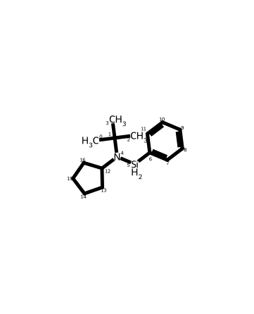 CC(C)(C)N([SiH2]c1ccccc1)C1CCCC1